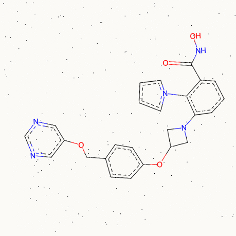 O=C(NO)c1cccc(N2CC(Oc3ccc(COc4cncnc4)cc3)C2)c1-n1cccc1